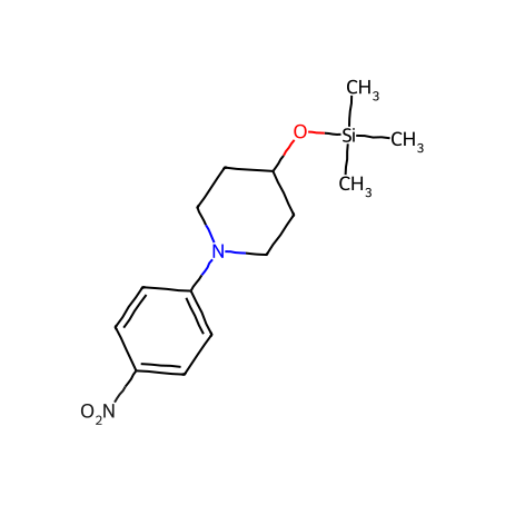 C[Si](C)(C)OC1CCN(c2ccc([N+](=O)[O-])cc2)CC1